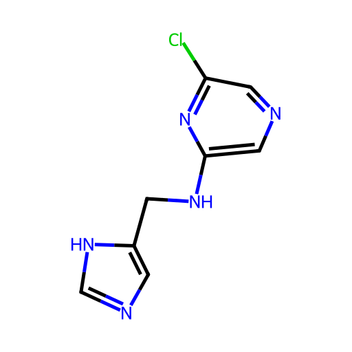 Clc1cncc(NCc2cnc[nH]2)n1